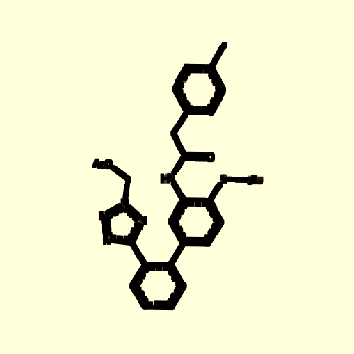 CC(=O)OCn1nnc(-c2ccccc2-c2ccc(SC(C)(C)C)c(NC(=O)Cc3ccc(C)cc3)c2)n1